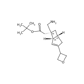 CC(C)(C)OC(=O)C[C@]1(CN)C[C@@H]2CC(C3COC3)=C[C@@H]21